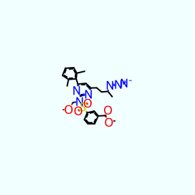 COCN(c1nc(CCC(C)N=[N+]=[N-])cc(-c2c(C)cccc2C)n1)S(=O)(=O)c1cccc(C(=O)OC)c1